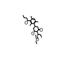 CCCC(=O)c1c(C)cc(C)c(C2CC(=O)C(C(CC)=NOCC)C(=O)C2)c1C